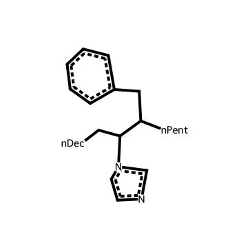 CCCCCCCCCCCC(C(CCCCC)Cc1ccccc1)n1ccnc1